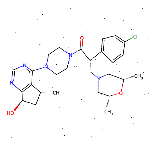 C[C@@H]1CN(C[C@H](C(=O)N2CCN(c3ncnc4c3[C@H](C)C[C@H]4O)CC2)c2ccc(Cl)cc2)C[C@H](C)O1